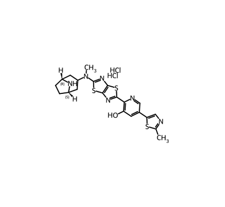 Cc1ncc(-c2cnc(-c3nc4sc(N(C)C5C[C@H]6CC[C@@H](C5)N6)nc4s3)c(O)c2)s1.Cl.Cl